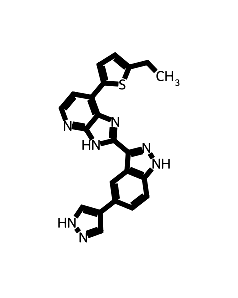 CCc1ccc(-c2ccnc3[nH]c(-c4n[nH]c5ccc(-c6cn[nH]c6)cc45)nc23)s1